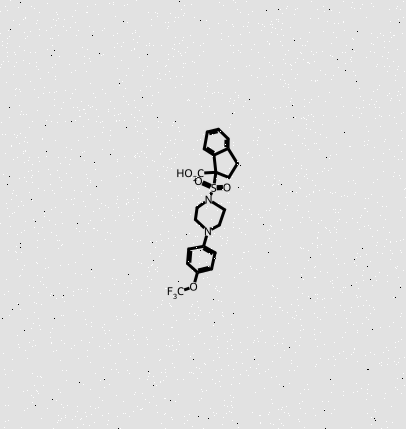 O=C(O)C1(S(=O)(=O)N2CCN(c3ccc(OC(F)(F)F)cc3)CC2)CCc2ccccc21